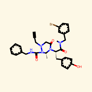 C#CCN1CC(=O)N([C@@H](Cc2ccc(O)cc2)C(=O)N(C)Cc2cccc(Br)c2)[C@H](C)N1C(=O)NCc1ccccc1